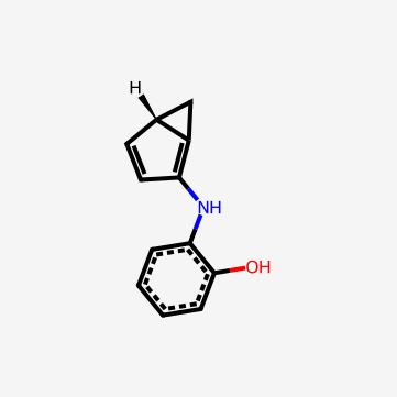 Oc1ccccc1NC1=C2C[C@H]2C=C1